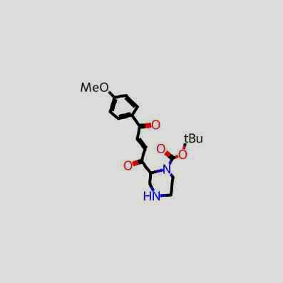 COc1ccc(C(=O)/C=C/C(=O)C2CNCCN2C(=O)OC(C)(C)C)cc1